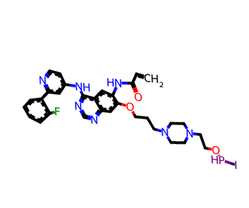 C=CC(=O)Nc1cc2c(Nc3ccnc(-c4ccccc4F)c3)ncnc2cc1OCCCN1CCN(CCOPI)CC1